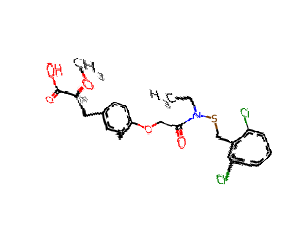 CCN(SCc1c(Cl)cccc1Cl)C(=O)COc1ccc(C[C@H](OC)C(=O)O)cc1